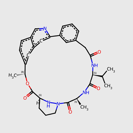 CC(C)[C@@H]1NC(=O)Cc2cccc(c2)-c2cc3cc(ccc3cn2)[C@@H](C)OC(=O)[C@@H]2CCCN(N2)C(=O)[C@H](C)NC1=O